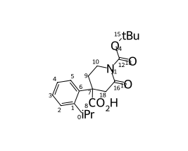 CC(C)c1ccccc1C1(C(=O)O)CCN(C(=O)OC(C)(C)C)C(=O)C1